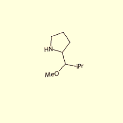 COC(C(C)C)C1CCCN1